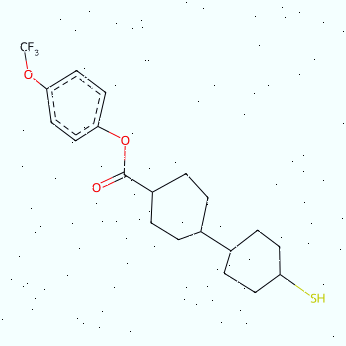 O=C(Oc1ccc(OC(F)(F)F)cc1)C1CCC(C2CCC(S)CC2)CC1